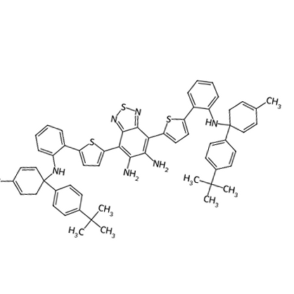 CC1=CCC(Nc2ccccc2-c2ccc(-c3c(N)c(N)c(-c4ccc(-c5ccccc5NC5(c6ccc(C(C)(C)C)cc6)C=CC(C)=CC5)s4)c4nsnc34)s2)(c2ccc(C(C)(C)C)cc2)C=C1